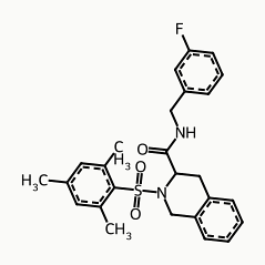 Cc1cc(C)c(S(=O)(=O)N2Cc3ccccc3CC2C(=O)NCc2cccc(F)c2)c(C)c1